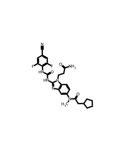 CN(C(=O)CC1CCCC1)c1ccc2c(c1)nc(NC(=O)Nc1c(F)cc(C#N)cc1F)n2CCC(N)=O